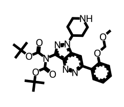 COCOc1ccccc1-c1cc2c(nn1)c(N(C(=O)OC(C)(C)C)C(=O)OC(C)(C)C)nn2C1CCNCC1